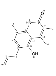 C=CCc1cc(C)c2[nH]c(=O)c(C)c(C)c2c1O